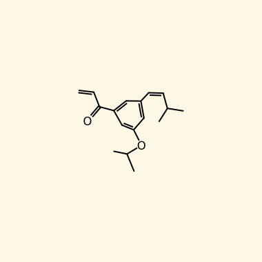 C=CC(=O)c1cc(/C=C\C(C)C)cc(OC(C)C)c1